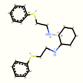 c1ccc(SCCNC2CCCC[C@H]2NCCSc2ccccc2)cc1